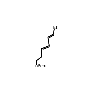 [CH2]CCCCCCC=CC=CCC